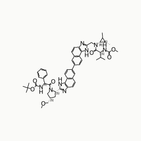 COC[C@H]1C[C@@H](c2nc3ccc4cc(-c5ccc6c(ccc7nc(CN(C(=O)[C@@H](NC(=O)OC)C(C)C)[C@@H]8C(C)[C@@H]8C)[nH]c76)c5)ccc4c3[nH]2)N(C(=O)[C@H](NC(=O)OC(C)(C)C)c2ccccc2)C1